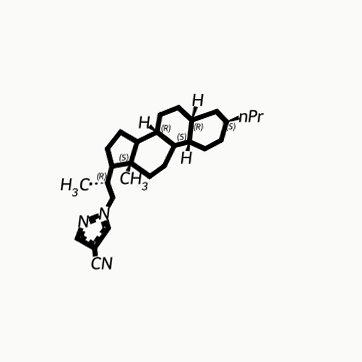 CCC[C@H]1CC[C@@H]2C3CC[C@@]4(C)C(CCC4[C@@H](C)Cn4cc(C#N)cn4)[C@@H]3CC[C@@H]2C1